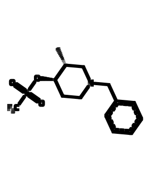 C[C@@H]1CN(Cc2ccccc2)CC[C@H]1OS(=O)(=O)C(F)(F)F